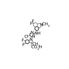 CN1Cc2cc(Nc3ncc(Cl)c(N4CC(C)(CC(=O)O)c5cc(F)c(F)cc54)n3)cc3c2C(C1)CC(F)(F)C3